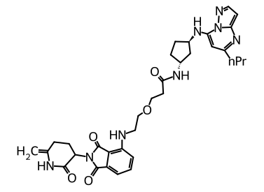 C=C1CCC(N2C(=O)c3cccc(NCCOCCC(=O)N[C@@H]4CC[C@@H](Nc5cc(CCC)nc6ccnn56)C4)c3C2=O)C(=O)N1